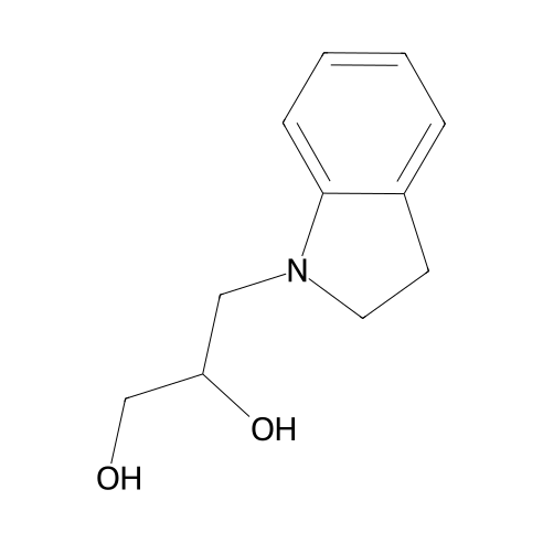 OCC(O)CN1CCc2ccccc21